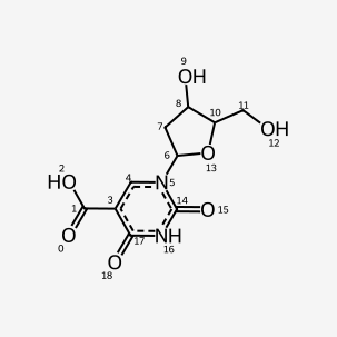 O=C(O)c1cn(C2CC(O)C(CO)O2)c(=O)[nH]c1=O